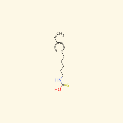 C=Cc1ccc(CCCCCNC(O)=S)cc1